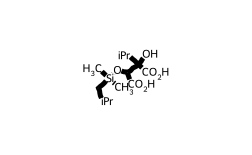 CC(C)C[Si](C)(C)OC(C(=O)O)C(O)(C(=O)O)C(C)C